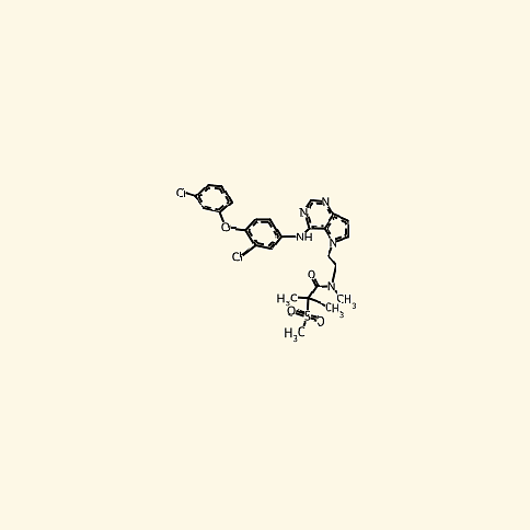 CN(CCn1ccc2ncnc(Nc3ccc(Oc4cccc(Cl)c4)c(Cl)c3)c21)C(=O)C(C)(C)S(C)(=O)=O